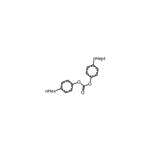 CCCCCCCc1ccc(OC(=O)Oc2ccc(CCCCCC)cc2)cc1